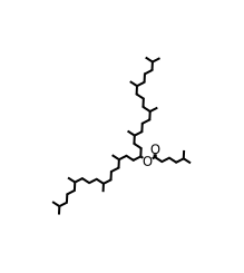 CC(C)CCCC(=O)OC(CCC(C)CCCC(C)CCCC(C)CCCC(C)C)CCC(C)CCCC(C)CCCC(C)CCCC(C)C